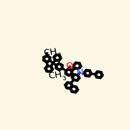 Cc1ccc2c(c1)C(c1ccccc1)(c1ccc(-c3cccc4c3oc3cccc(N(c5ccc(-c6ccccc6)cc5)c5ccc(-c6cccc7ccccc67)cc5)c34)cc1)c1cc(C)ccc1-2